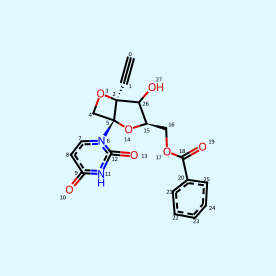 C#C[C@@]12OC[C@@]1(n1ccc(=O)[nH]c1=O)O[C@H](COC(=O)c1ccccc1)C2O